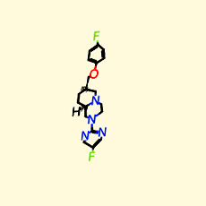 Fc1ccc(OC[C@@H]2CC[C@@H]3CN(c4ncc(F)cn4)CCN3C2)cc1